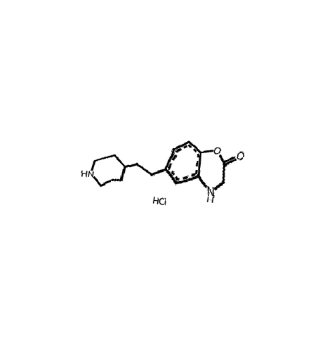 Cl.O=C1CNc2cc(CCC3CCNCC3)ccc2O1